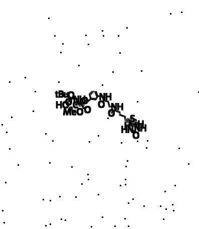 COC(=O)[C@H](OCc1cccc(NC(=O)CCNC(=O)CCCC[C@@H]2SC[C@@H]3NC(=O)N[C@@H]32)c1)[C@H](NC(=O)OC(C)(C)C)C(=O)O